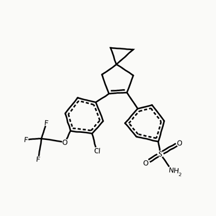 NS(=O)(=O)c1ccc(C2=C(c3ccc(OC(F)(F)F)c(Cl)c3)CC3(CC3)C2)cc1